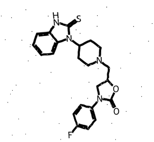 O=C1OC(CN2CCC(n3c(=S)[nH]c4ccccc43)CC2)CN1c1ccc(F)cc1